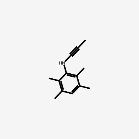 CC#CNc1c(C)c(C)cc(C)c1C